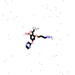 NCCCOc1cc(Oc2cnccn2)cc2c1C(CC(=O)O)OB2O